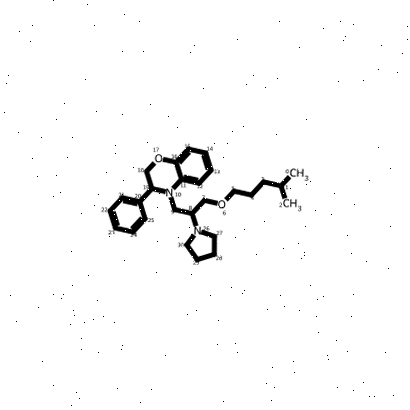 CC(C)CCCOCC(CN1c2ccccc2OCC1c1ccccc1)N1CCCC1